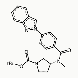 CN(C(=O)c1ccc(-n2cc3ccccc3n2)cc1)[C@@H]1CCN(C(=O)OC(C)(C)C)C1